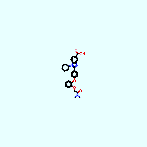 CN(C)C(=O)COc1ccccc1Oc1ccc(-c2nc3cc(C(=O)O)ccc3n2C2CCCCC2)cc1